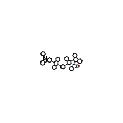 c1ccc(-n2c3ccccc3c3cc(-c4c5ccccc5c(-c5cccc(-c6cc7c(c8ccccc68)-c6c(c8ccccc8c8ccccc68)C76c7ccccc7-c7ccccc76)c5)c5ccccc45)ccc32)cc1